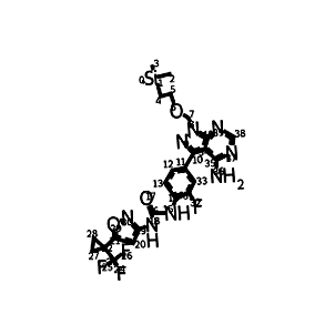 C[Si](C)(C)CCOCn1nc(-c2ccc(NC(=O)Nc3cc(C4(C(F)(F)F)CC4)on3)c(F)c2)c2c(N)ncnc21